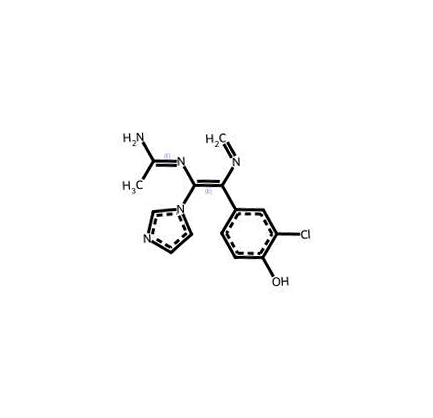 C=N/C(=C(\N=C(/C)N)n1ccnc1)c1ccc(O)c(Cl)c1